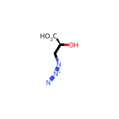 [N-]=[N+]=NC[C@H](O)C(=O)O